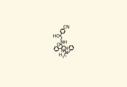 CN(Cc1ccccc1)c1ncc(C(=O)NCCC(O)c2ccc(C#N)cc2)c(-c2ccccc2)n1